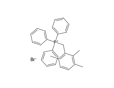 Cc1ccc(C)c(C[P+](c2ccccc2)(c2ccccc2)c2ccccc2)c1C.[Br-]